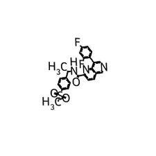 CC(NC(=O)c1ccc2cncc(-c3ccc(F)cc3F)c2n1)c1ccc(S(C)(=O)=O)cc1